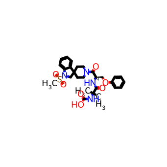 CC(C)(NC(=O)O)C(=O)N[C@H](COc1ccccc1)C(=O)N1CCC2(CC1)CN(S(C)(=O)=O)c1ccccc12